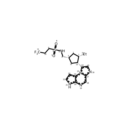 CC[C@H]1C[C@@H](CNS(=O)(=O)CCC(F)(F)F)C[C@H]1c1cnc2cnc3[nH]ccc3n12